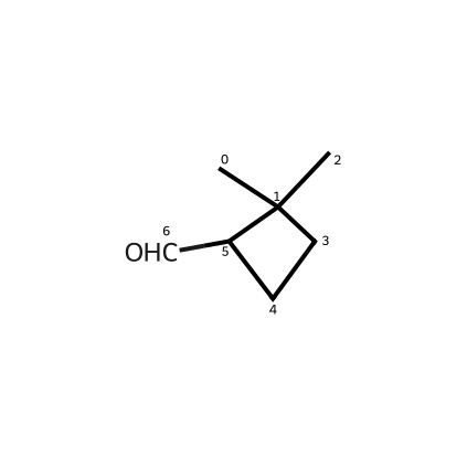 CC1(C)CCC1C=O